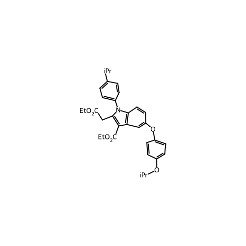 CCOC(=O)Cc1c(C(=O)OCC)c2cc(Oc3ccc(OC(C)C)cc3)ccc2n1-c1ccc(C(C)C)cc1